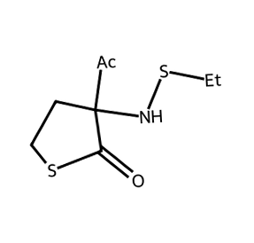 CCSNC1(C(C)=O)CCSC1=O